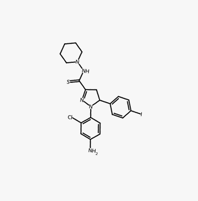 Nc1ccc(N2N=C(C(=S)NN3CCCCC3)CC2c2ccc(I)cc2)c(Cl)c1